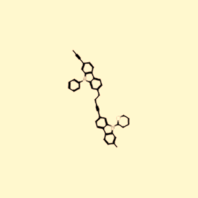 CC#Cc1ccc2c3ccc(CCC#Cc4ccc5c6ccc(C)cc6n(C6CCCCO6)c5c4)cc3n(-c3ccccc3)c2c1